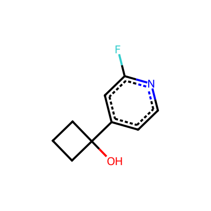 OC1(c2ccnc(F)c2)CCC1